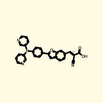 N#C/C(=C\c1ccc2cc(-c3ccc(N(c4cccnc4)c4cccnc4)cc3)oc2c1)C(=O)O